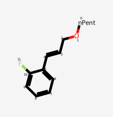 [CH2]CCCCOCC=Cc1ccccc1F